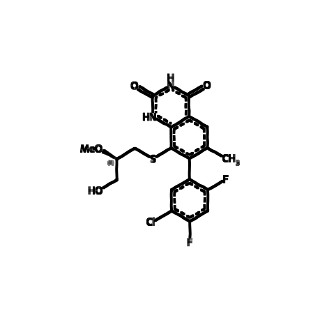 CO[C@H](CO)CSc1c(-c2cc(Cl)c(F)cc2F)c(C)cc2c(=O)[nH]c(=O)[nH]c12